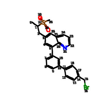 CC(Cc1cc(-c2cccc(-c3ccc(CBr)cc3)c2)c2ncccc2c1)S(C)(=O)=O